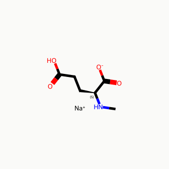 CN[C@@H](CCC(=O)O)C(=O)[O-].[Na+]